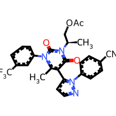 CC(=O)OC[C@@H](C)n1c(=O)c(-c2ccnn2-c2ccc(C#N)cc2)c(C)n(-c2cccc(C(F)(F)F)c2)c1=O